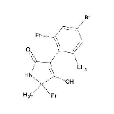 CCc1cc(Br)cc(C)c1C1=C(O)C(C)(C(C)C)NC1=O